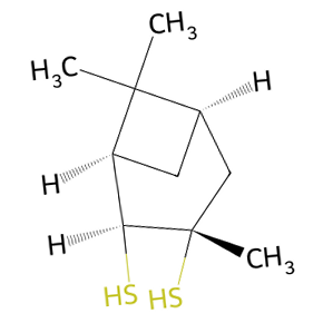 CC1(C)[C@@H]2C[C@H]1[C@H](S)[C@@](C)(S)C2